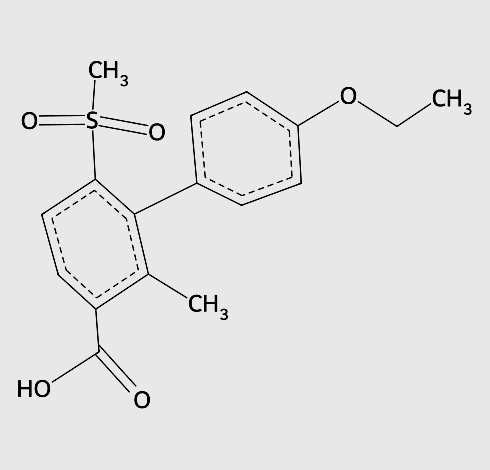 CCOc1ccc(-c2c(S(C)(=O)=O)ccc(C(=O)O)c2C)cc1